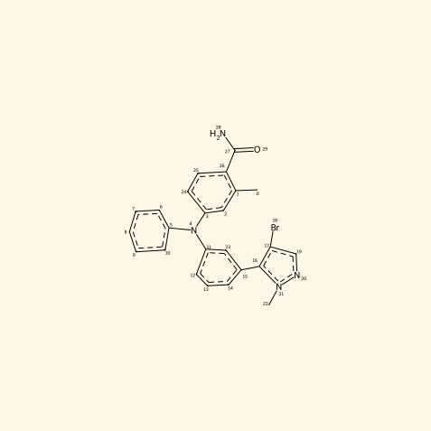 Cc1cc(N(c2ccccc2)c2cccc(-c3c(Br)cnn3C)c2)ccc1C(N)=O